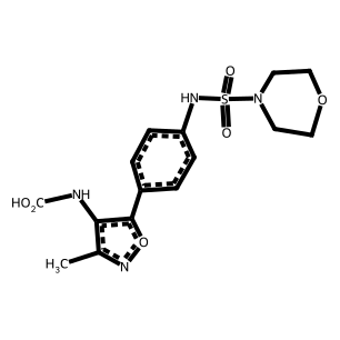 Cc1noc(-c2ccc(NS(=O)(=O)N3CCOCC3)cc2)c1NC(=O)O